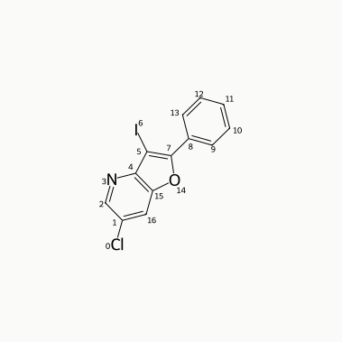 Clc1cnc2c(I)c(-c3ccccc3)oc2c1